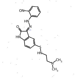 CN(C)CCNSc1ccc2c(c1)/C(=N/Nc1ccccc1N=O)C(=O)N2